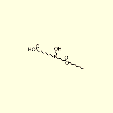 CCCCCCCOC(=O)CCCN(CCO)CCCCCCCC(=O)O